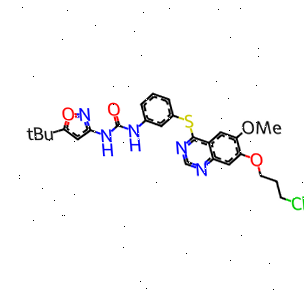 COc1cc2c(Sc3cccc(NC(=O)Nc4cc(C(C)(C)C)on4)c3)ncnc2cc1OCCCCl